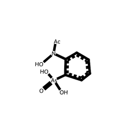 CC(=O)N(O)c1ccccc1[As](=O)(O)O